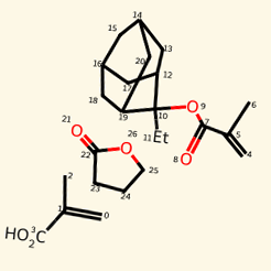 C=C(C)C(=O)O.C=C(C)C(=O)OC1(CC)C2CC3CC(C2)CC1C3.O=C1CCCO1